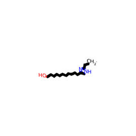 [CH2]CCc1nc(CCCCCCCCCCCO)c[nH]1